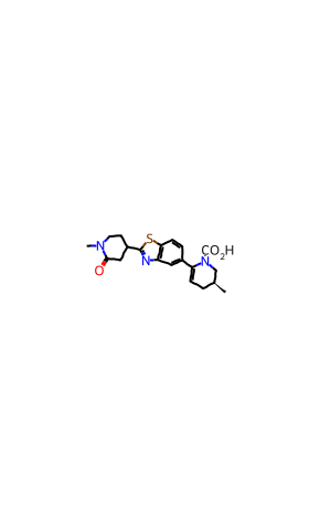 C[C@H]1CC=C(c2ccc3sc(C4CCN(C)C(=O)C4)nc3c2)N(C(=O)O)C1